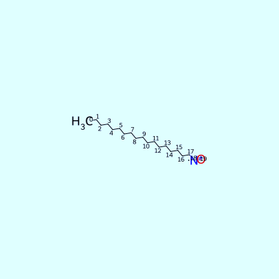 CCCCCCCCCCCCCCCCCC[N+]=O